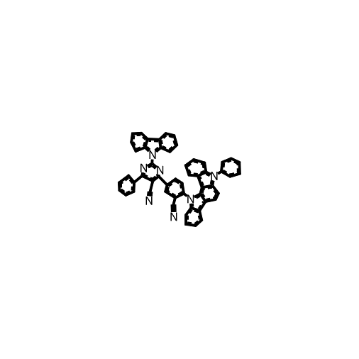 N#Cc1cc(-c2nc(-n3c4ccccc4c4ccccc43)nc(-c3ccccc3)c2C#N)ccc1-n1c2ccccc2c2ccc3c(c4ccccc4n3-c3ccccc3)c21